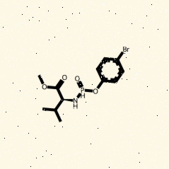 COC(=O)[C@@H](N[PH](=O)Oc1ccc(Br)cc1)C(C)C